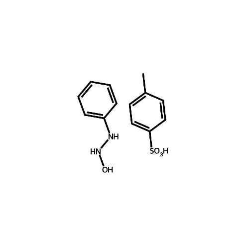 Cc1ccc(S(=O)(=O)O)cc1.ONNc1ccccc1